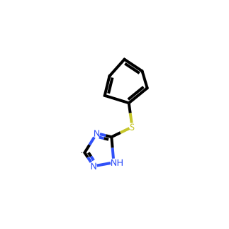 [c]1n[nH]c(Sc2ccccc2)n1